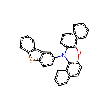 c1ccc2c3c(ccc2c1)N(c1ccc2sc4ccccc4c2c1)c1c(ccc2ccccc12)O3